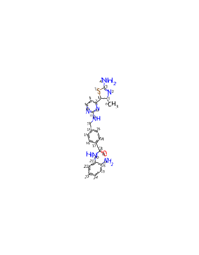 CC1N=C(N)SC1c1ccnc(NCc2ccc(C(=O)Nc3ccccc3N)cc2)n1